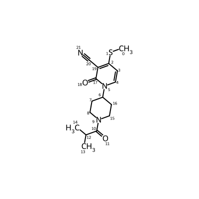 CSc1ccn(C2CCN(C(=O)C(C)C)CC2)c(=O)c1C#N